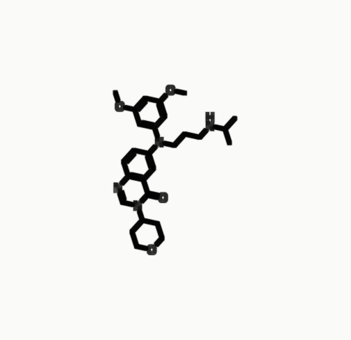 COc1cc(OC)cc(N(CCCNC(C)C)c2ccc3ncn(C4CCOCC4)c(=O)c3c2)c1